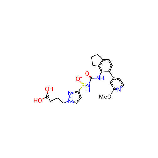 COc1cc(-c2ccc3c(c2NC(=O)N[S+]([O-])c2ccn(CCCB(O)O)n2)CCC3)ccn1